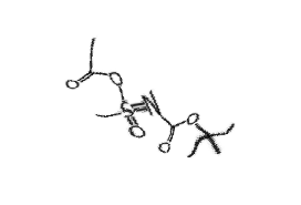 CC(=O)OS(C)(=O)=NC(=O)OC(C)(C)C